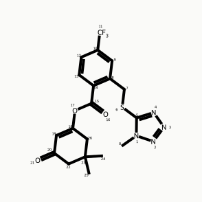 Cn1nnnc1SCc1cc(C(F)(F)F)ccc1C(=O)OC1=CC(=O)CC(C)(C)C1